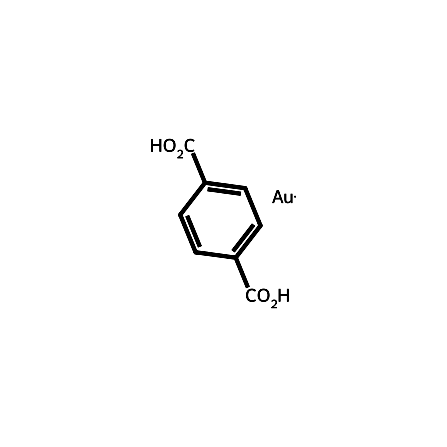 O=C(O)c1ccc(C(=O)O)cc1.[Au]